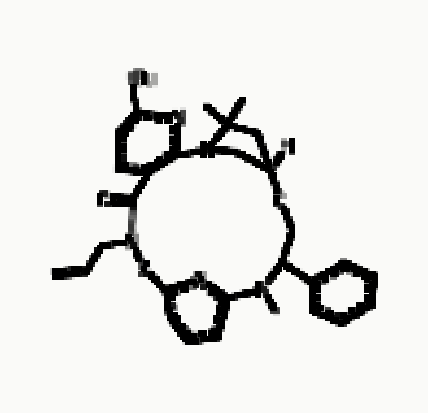 C=CCN1Sc2cccc(n2)N(C)C(c2ccccc2)CC[C@@H]2CN(c3nc(C(C)(C)C)ccc3C1=O)C(C)(C)C2